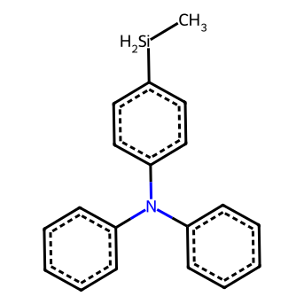 C[SiH2]c1ccc(N(c2ccccc2)c2ccccc2)cc1